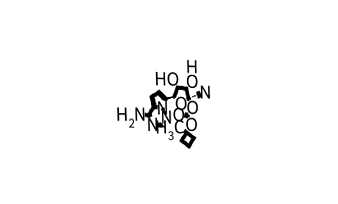 CC1(OC(=O)O[C@@]2(C#N)O[C@@H](c3ccc4c(N)ncnn34)[C@H](O)[C@@H]2O)CCC1